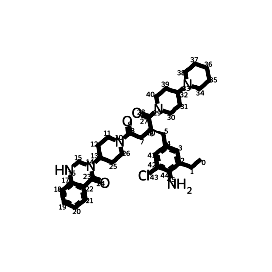 CCc1cc(C[C@@H](CC(=O)N2CCC(N3CNc4ccccc4C3=O)CC2)C(=O)N2CCC(N3CCCCC3)CC2)cc(Cl)c1N